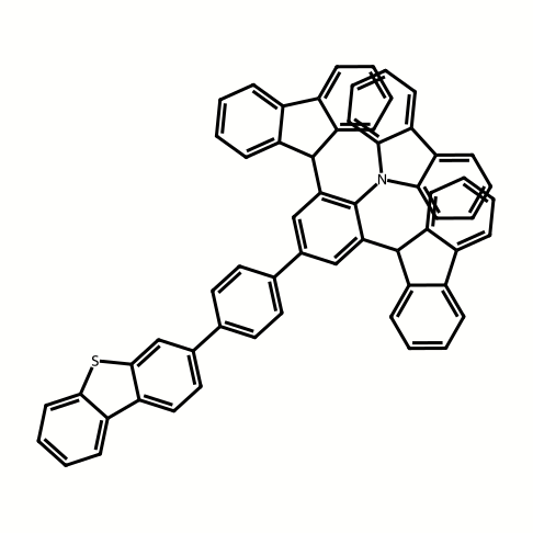 c1ccc2c(c1)-c1ccccc1C2c1cc(-c2ccc(-c3ccc4c(c3)sc3ccccc34)cc2)cc(C2c3ccccc3-c3ccccc32)c1-n1c2ccccc2c2ccccc21